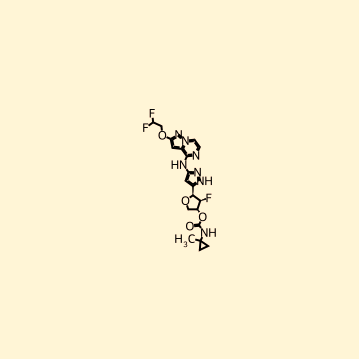 CC1(NC(=O)O[C@H]2CO[C@@H](c3cc(Nc4nccn5nc(OCC(F)F)cc45)n[nH]3)[C@H]2F)CC1